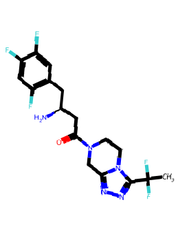 CC(F)(F)c1nnc2n1CCN(C(=O)C[C@@H](N)Cc1cc(F)c(F)cc1F)C2